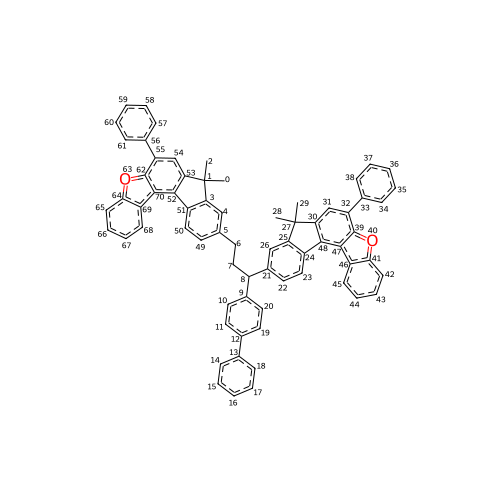 CC1(C)c2cc(CCC(c3ccc(-c4ccccc4)cc3)c3ccc4c(c3)C(C)(C)c3cc(-c5ccccc5)c5oc6ccccc6c5c3-4)ccc2-c2c1cc(-c1ccccc1)c1oc3ccccc3c21